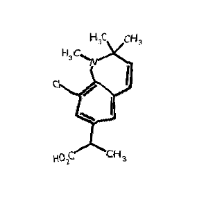 CC(C(=O)O)c1cc(Cl)c2c(c1)C=CC(C)(C)N2C